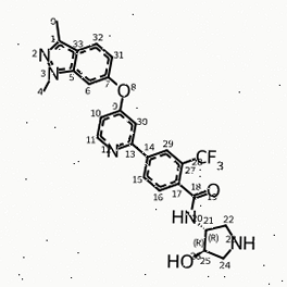 Cc1nn(C)c2cc(Oc3ccnc(-c4ccc(C(=O)N[C@@H]5CNC[C@H]5O)c(C(F)(F)F)c4)c3)ccc12